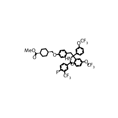 COC(=O)[C@H]1CC[C@@H](COc2ccc(CC(NC(=O)c3ccc(F)c(C(F)(F)F)c3)(c3cccc(OC(F)(F)F)c3)c3cccc(OC(F)(F)F)c3)cc2)CC1